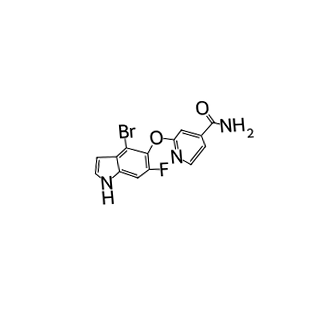 NC(=O)c1ccnc(Oc2c(F)cc3[nH]ccc3c2Br)c1